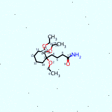 CCOC1(CCCC(N)=O)CCCC[Si]1(OCC)OCC